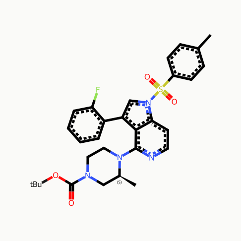 Cc1ccc(S(=O)(=O)n2cc(-c3ccccc3F)c3c(N4CCN(C(=O)OC(C)(C)C)C[C@@H]4C)nccc32)cc1